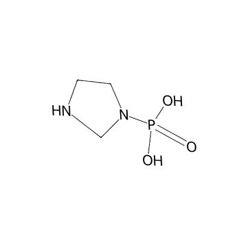 O=P(O)(O)N1CCNC1